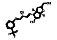 OCC1C[C@@H]2[C@@H](/C=C/[C@@H](O)COc3cccc(C(F)(F)F)c3)[C@H](O)C[C@@H]2O1